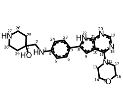 OC1(CNc2ccc(-c3cc4c(N5CCOCC5)ncnc4[nH]3)cc2)CCNCC1